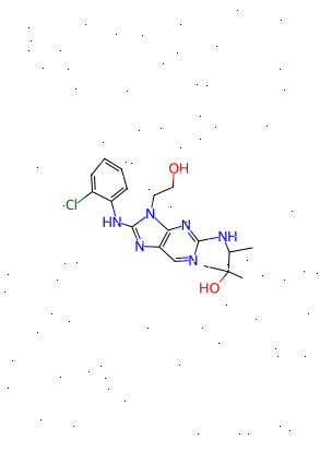 CC(Nc1ncc2nc(Nc3ccccc3Cl)n(CCO)c2n1)C(C)(C)O